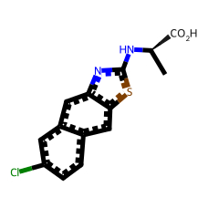 C[C@@H](Nc1nc2cc3cc(Cl)ccc3cc2s1)C(=O)O